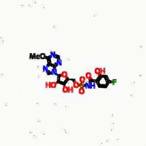 COc1ncnc2c1ncn2[C@@H]1O[C@H](COS(=O)(=O)NC(=O)c2ccc(F)cc2O)[C@@H](O)[C@H]1O